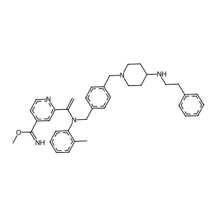 C=C(c1cc(C(=N)OC)ccn1)N(Cc1ccc(CN2CCC(NCCc3ccccc3)CC2)cc1)c1ccccc1C